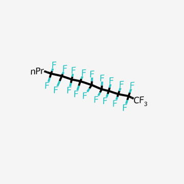 CCCC(F)(F)C(F)(F)C(F)(F)C(F)(F)C(F)(F)C(F)(F)C(F)(F)C(F)(F)C(F)(F)C(F)(F)F